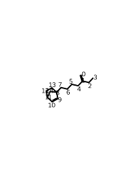 C=C(CC)CCCCC12C=CC(CC1)C2